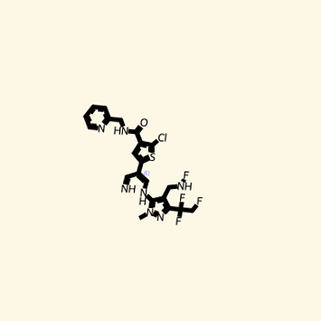 Cn1nc(C(F)(F)CF)c(CNF)c1N/C=C(\C=N)c1cc(C(=O)NCc2ccccn2)c(Cl)s1